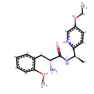 C[C@@H](NC(=O)[C@H](N)Cc1ccccc1OC(F)(F)F)c1ccc(OCC(F)(F)F)cn1